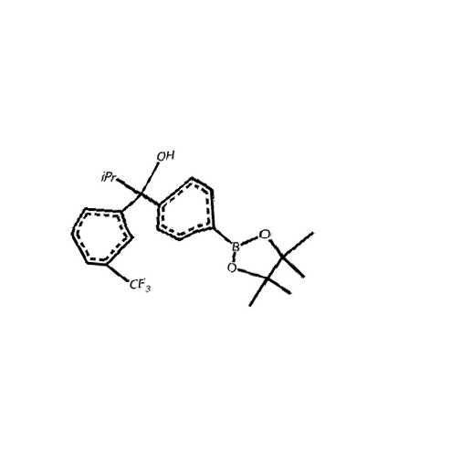 CC(C)C(O)(c1ccc(B2OC(C)(C)C(C)(C)O2)cc1)c1cccc(C(F)(F)F)c1